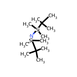 CC(C)(C)[Si](C)(C)[N][Si](C)(C)C(C)(C)C